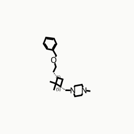 CN1CCN(C[C@H]2C[C@@H](CCOCc3ccccc3)C2(C)C)CC1